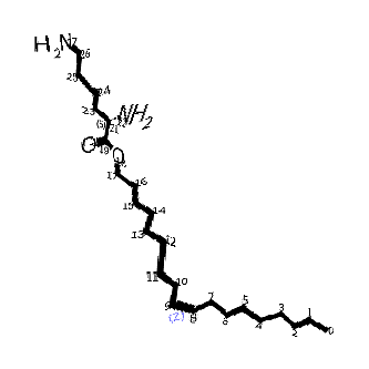 CCCCCCCC/C=C\CCCCCCCCOC(=O)[C@@H](N)CCCCN